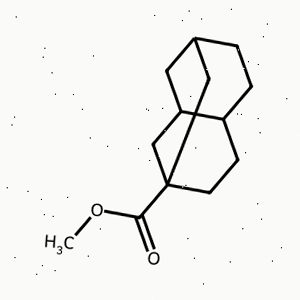 COC(=O)C12CCC3CCC(CC3C1)C2